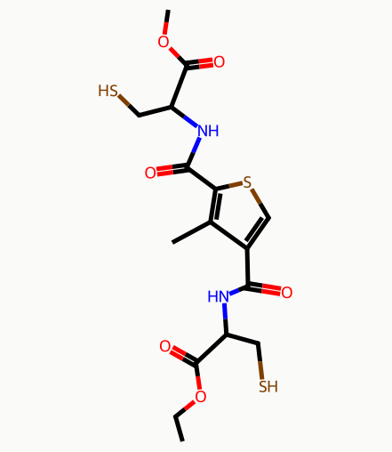 CCOC(=O)C(CS)NC(=O)c1csc(C(=O)NC(CS)C(=O)OC)c1C